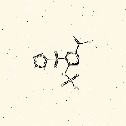 CC(=O)c1ccc(NS(C)(=O)=O)c(S(=O)(=O)c2nccs2)c1